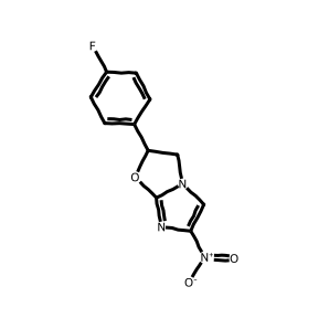 O=[N+]([O-])c1cn2c(n1)OC(c1ccc(F)cc1)C2